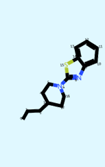 CCCC1CCN(c2nc3ccccc3s2)CC1